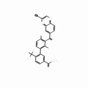 N#Cc1cnc2ccc(C(=O)c3c(F)ccc(-c4cc(C(N)=O)ccc4C(F)(F)F)c3F)cc2n1